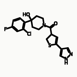 O=C(C1C=C(c2cn[nH]c2)SC1)N1CCC(O)(c2ccc(F)cc2Cl)CC1